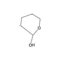 OC1[CH]CCCO1